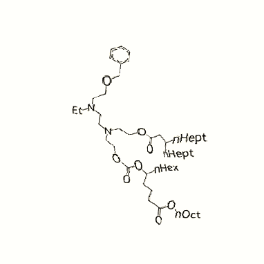 CCCCCCCCOC(=O)CCCC(CCCCCC)OC(=O)OCCN(CCOC(=O)CC(CCCCCCC)CCCCCCC)CCN(CC)CCOCc1ccccc1